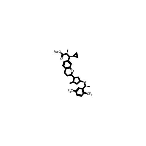 COC(=O)[C@@H](C)[C@H](c1ccc2c(c1)OC(C1CC(N[C@@H](C)c3cc(C(F)(F)F)ccc3C(F)(F)F)CC1C)CC2)C1CC1